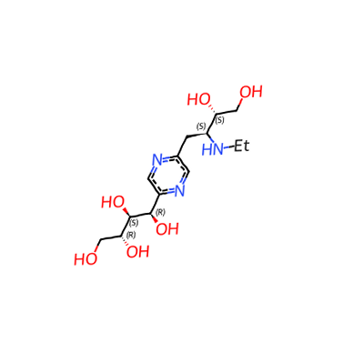 CCN[C@@H](Cc1cnc([C@@H](O)[C@H](O)[C@H](O)CO)cn1)[C@H](O)CO